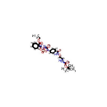 CCOC(=O)C1(COS(=O)(=O)ON(C(N)=O)[C@H]2CC[C@H](C(=O)NOCCNC(=O)OC(C)(C)C)CC2)CCCCC1